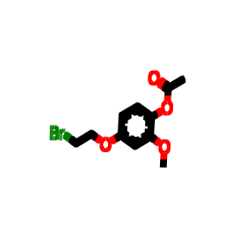 COc1cc(OCCBr)ccc1OC(C)=O